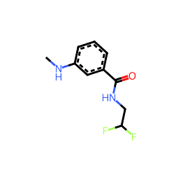 CNc1cccc(C(=O)NCC(F)F)c1